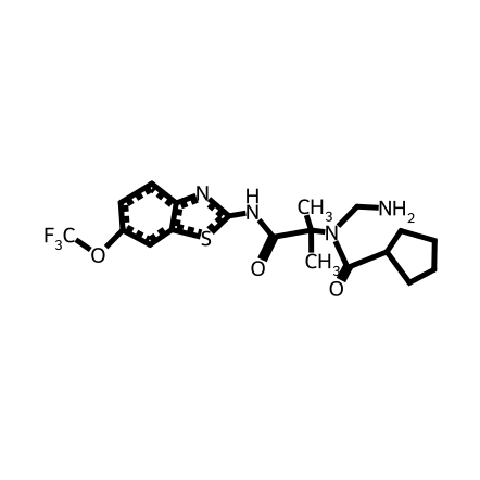 CC(C)(C(=O)Nc1nc2ccc(OC(F)(F)F)cc2s1)N(CN)C(=O)C1CCCC1